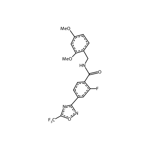 COc1ccc(CNC(=O)c2ccc(-c3noc(C(F)(F)F)n3)cc2F)c(OC)c1